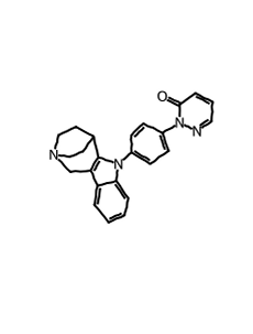 O=c1cccnn1-c1ccc(-n2c3c(c4ccccc42)CN2CCC3CC2)cc1